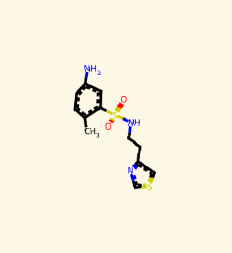 Cc1ccc(N)cc1S(=O)(=O)NCCc1cscn1